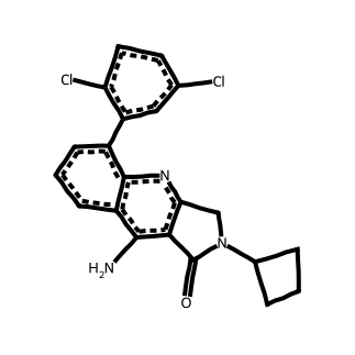 Nc1c2c(nc3c(-c4cc(Cl)ccc4Cl)cccc13)CN(C1CCC1)C2=O